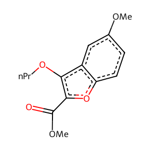 CCCOc1c(C(=O)OC)oc2ccc(OC)cc12